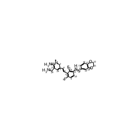 CN1CC(C=Cc2c(F)ccc(NSc3ccc4c(c3)OCCO4)c2F)=CC(CN)=C1N